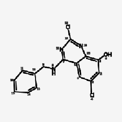 Oc1cc(Cl)cc2c(NCc3ccccc3)nc(Cl)nc12